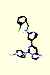 CCN1CC2CC1CN2c1nc(-c2ccnc(NCc3ccccc3F)c2)cc2nccn12